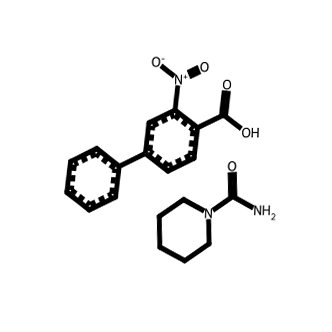 NC(=O)N1CCCCC1.O=C(O)c1ccc(-c2ccccc2)cc1[N+](=O)[O-]